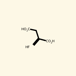 C=C(CC(=O)O)C(=O)O.F